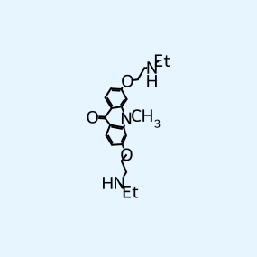 CCNCCOc1ccc2c(=O)c3ccc(OCCNCC)cc3n(C)c2c1